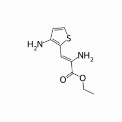 CCOC(=O)/C(N)=C/c1sccc1N